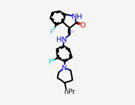 CCCC1CCN(c2ccc(N/C=C3/C(=O)Nc4cccc(F)c43)cc2F)CC1